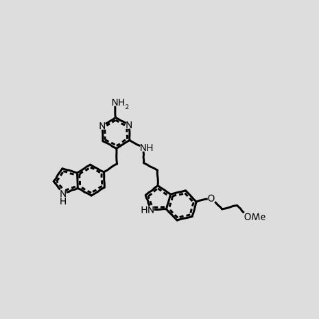 COCCOc1ccc2[nH]cc(CCNc3nc(N)ncc3Cc3ccc4[nH]ccc4c3)c2c1